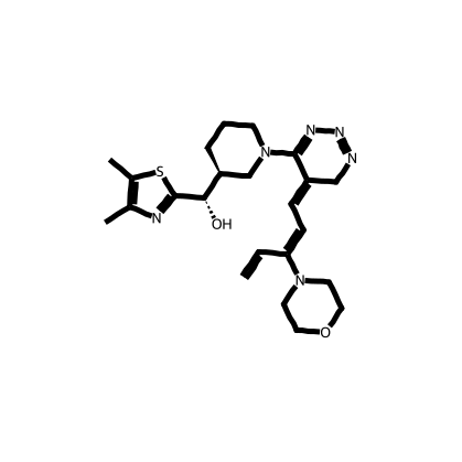 C=C/C(=C\C=C1/CN=NN=C1N1CCC[C@H]([C@H](O)c2nc(C)c(C)s2)C1)N1CCOCC1